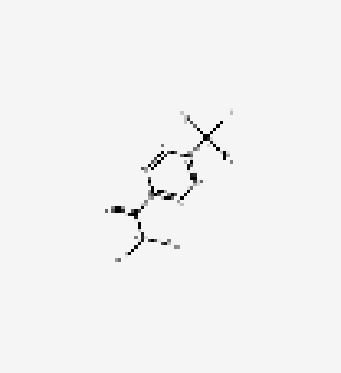 C=C(c1ccc(C(F)(F)F)cc1)C(F)F